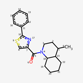 CC1CCN(C(=O)c2csc(-c3ccccc3)n2)C2CCCCC12